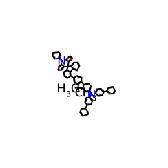 CC1(C)c2cc(-c3cccc4c3-c3ccccc3C43c4ccccc4N(c4ccccc4)c4ccccc43)ccc2-c2ccc(N(c3ccc(-c4ccccc4)cc3)c3ccc(-c4ccccc4)cc3)cc21